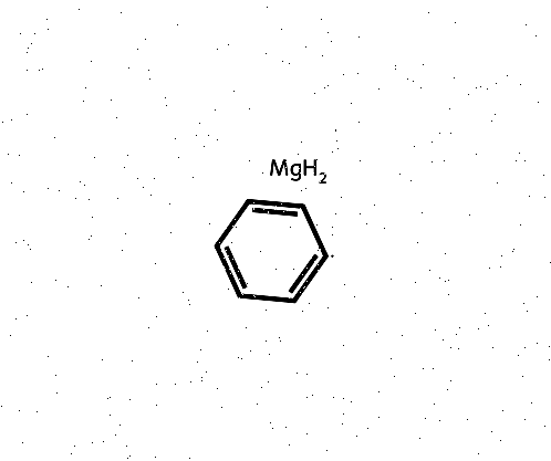 [MgH2].[c]1ccccc1